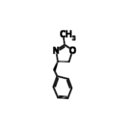 CC1=N[C@H](Cc2ccccc2)CO1